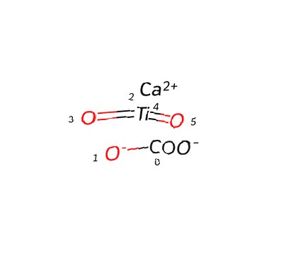 O=C([O-])[O-].[Ca+2].[O]=[Ti]=[O]